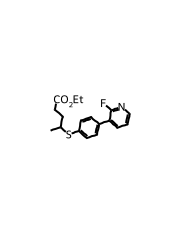 CCOC(=O)CCC(C)Sc1ccc(-c2cccnc2F)cc1